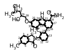 Cc1ccc2c(c1)C(=O)N(c1cccc(-c3ccc(C(N)=O)c4[nH]c5cc(OCC(O)CN(C)C)ccc5c34)c1C)C2